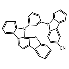 N#Cc1ccc2c(c1)c1ccccc1n2-c1cccc(-n2c3ccccc3c3ccc4c5ccccc5sc4c32)c1